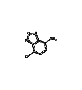 Nc1ccc(Cl)c2nonc12